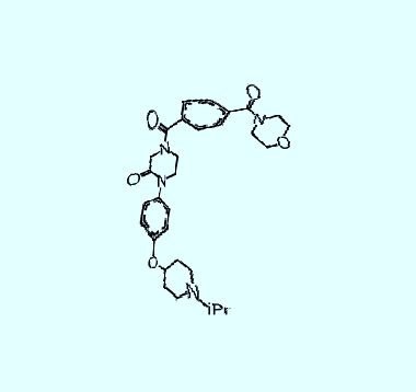 CC(C)N1CCC(Oc2ccc(N3CCN(C(=O)c4ccc(C(=O)N5CCOCC5)cc4)CC3=O)cc2)CC1